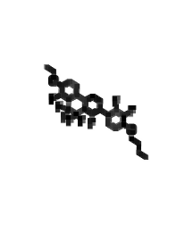 CCCCOc1ccc(-c2ccc3c(c2F)C(F)(F)C(F)(F)c2c-3ccc(OCC)c2F)c(F)c1F